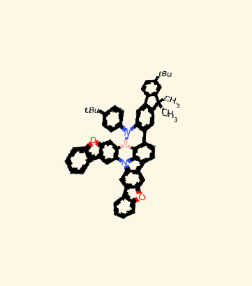 CC(C)(C)c1ccc(N2B3c4cc5oc6ccccc6c5cc4-n4c5cc6c(cc5c5ccc(c3c54)-c3cc4c(cc32)-c2ccc(C(C)(C)C)cc2C4(C)C)oc2ccccc26)cc1